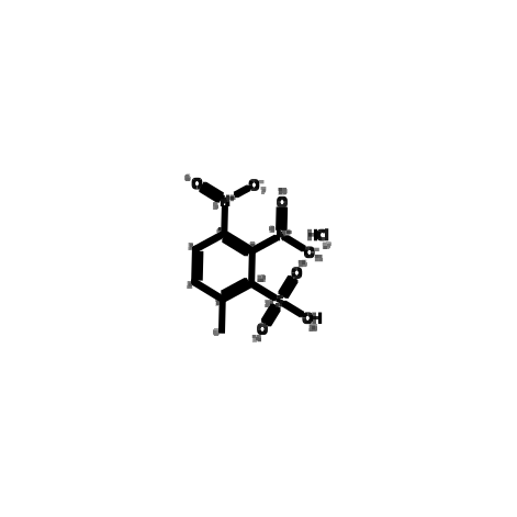 Cc1ccc([N+](=O)[O-])c([N+](=O)[O-])c1S(=O)(=O)O.Cl